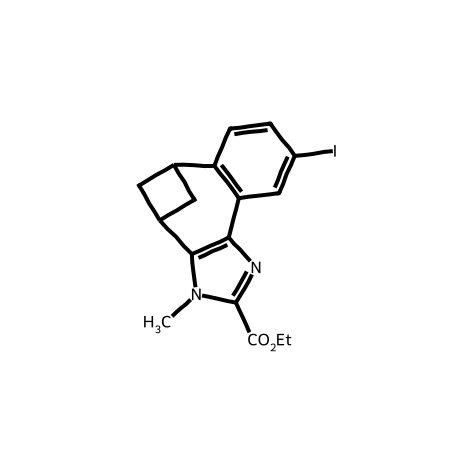 CCOC(=O)c1nc2c(n1C)C1CC(C1)c1ccc(I)cc1-2